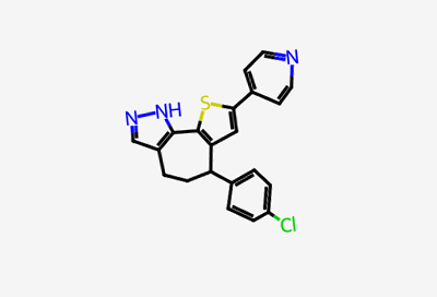 Clc1ccc(C2CCc3cn[nH]c3-c3sc(-c4ccncc4)cc32)cc1